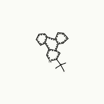 CC(C)(C)c1cc2c3ccccc3c3ccccc3c2cn1